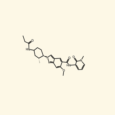 CCC(=O)NC1CC[C@@H](n2cc3cc(C(=O)Nc4cccn(C)c4=O)c(OC)cc3n2)[C@H](C)C1